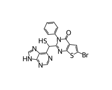 O=c1c2cc(Br)sc2nc(C(S)c2ncnc3[nH]cnc23)n1-c1ccccc1